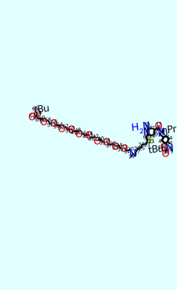 CCCN(Cc1ccc(CN(C)C(=O)OC(C)(C)C)cc1)C(=O)C1=Cc2sc(CCCCCN(C)CCOCCOCCOCCOCCOCCOCCOCCOCCOCCOCCC(=O)OC(C)(C)C)cc2N=C(N)C1